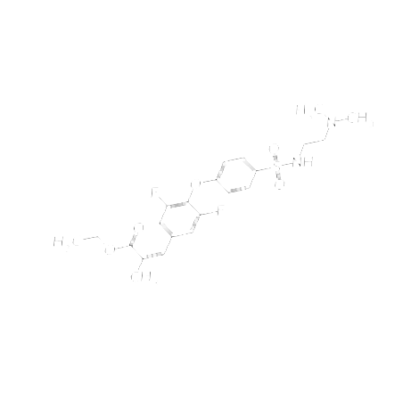 CCOC(=O)C(C)=Cc1cc(F)c(Oc2ccc(S(=O)(=O)NCCN(C)C)cc2)c(F)c1